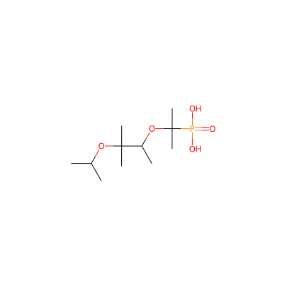 CC(C)OC(C)(C)C(C)OC(C)(C)P(=O)(O)O